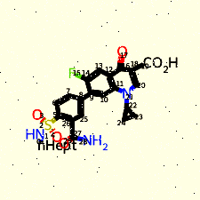 CCCCCCCNS(=O)(=O)c1ccc(-c2cc3c(cc2F)c(=O)c(C(=O)O)cn3C2CC2)cc1C(N)=O